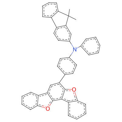 CC1(C)c2ccccc2-c2ccc(N(c3ccccc3)c3ccc(-c4cc5c6ccccc6oc5c5c4oc4ccccc45)cc3)cc21